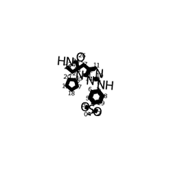 CS(=O)(=O)c1ccc(Nc2ncc3c(n2)N(C2CCCC2)C2(CCNC2=O)C3)cc1